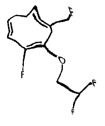 Fc1cccc(F)c1OCC(F)F